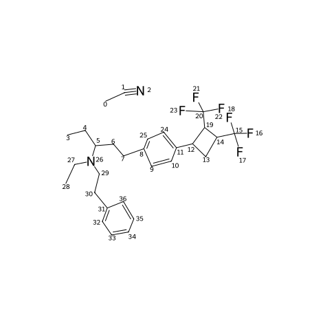 CC#N.CCC(CCc1ccc(C2CC(C(F)(F)F)C2C(F)(F)F)cc1)N(CC)CCc1ccccc1